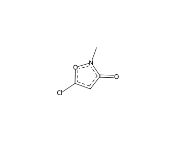 Cn1oc(Cl)cc1=O